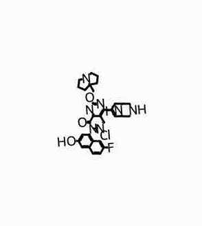 O=c1c2nc(OCC34CCCN3CCC4)nc(C3=CC4CNCC(C3)N4)c2cnn1-c1cc(O)cc2ccc(F)c(Cl)c12